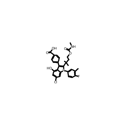 CNC(=O)OCCC(C)(C)c1c(-c2ccc(C(=O)O)cc2)c2c(O)cc(Cl)cc2n1-c1ccc(F)c(C)c1